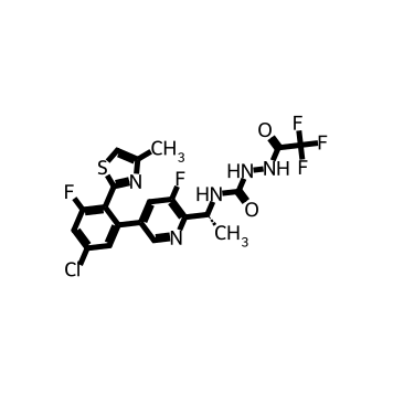 Cc1csc(-c2c(F)cc(Cl)cc2-c2cnc([C@@H](C)NC(=O)NNC(=O)C(F)(F)F)c(F)c2)n1